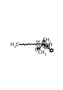 CCCCCCCCCCCCCCCCC[C@@H](C[C@@H]1OC(=O)[C@H]1CC)OC(=O)[C@H](CC(C)C)NC(=O)OCc1ccccc1